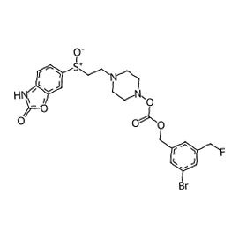 O=C(OCc1cc(Br)cc(CF)c1)ON1CCN(CC[S+]([O-])c2ccc3[nH]c(=O)oc3c2)CC1